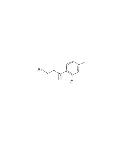 CC(=O)CCNc1ccc(C)cc1F